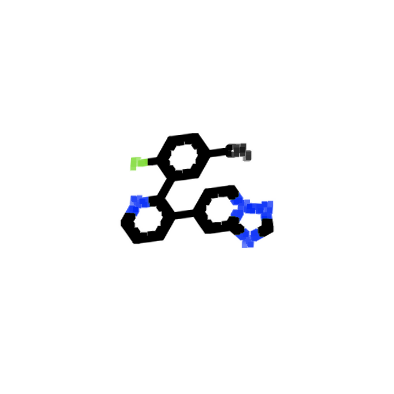 Cc1ccc(F)c(-c2ncccc2-c2ccn3ncnc3c2)c1